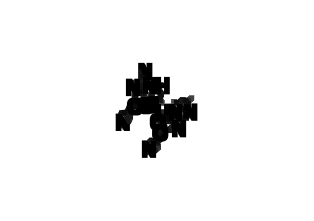 COc1cc(Nc2c(C#N)cnc3cc(OCC4CCN(C)CC4)c(OC)cc23)c(C)cc1C.COc1cc2c(Nc3ccc(C)cc3C)c(C#N)cnc2cc1OCC1CCN(C)CC1